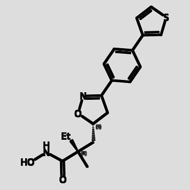 CC[C@](C)(C[C@H]1CC(c2ccc(-c3ccsc3)cc2)=NO1)C(=O)NO